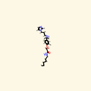 CCCCCCNC(=O)COc1ccc(C(C)(C)NCCCn2ccnc2)cc1